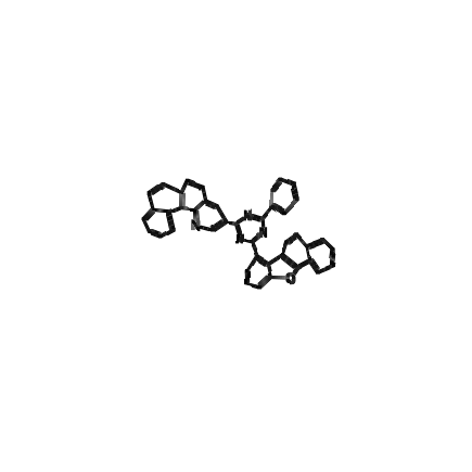 c1ccc(-c2nc(-c3cnc4c(ccc5ccc6ccccc6c54)c3)nc(-c3cccc4oc5c6ccccc6ccc5c34)n2)cc1